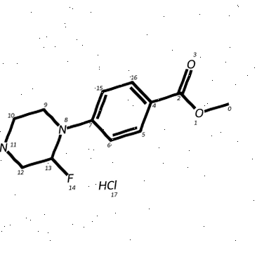 COC(=O)c1ccc(N2CCNCC2F)cc1.Cl